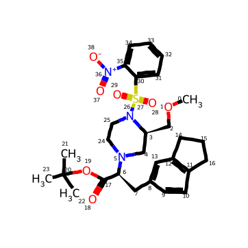 COC[C@H]1CN([C@@H](Cc2ccc3c(c2)CCC3)C(=O)OC(C)(C)C)CCN1S(=O)(=O)c1ccccc1[N+](=O)[O-]